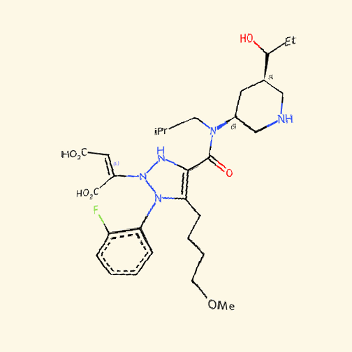 CCC(O)[C@H]1CNC[C@@H](N(CC(C)C)C(=O)C2=C(CCCCOC)N(c3ccccc3F)N(/C(=C/C(=O)O)C(=O)O)N2)C1